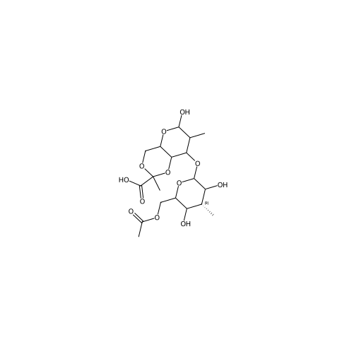 CC(=O)OCC1OC(OC2C(C)C(O)OC3COC(C)(C(=O)O)OC32)C(O)[C@H](C)C1O